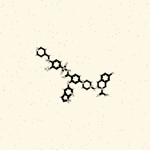 CC(C)C(=O)N1Cc2cc(F)ccc2C[C@H]1CN1CCN(c2ccc(C(=O)NS(=O)(=O)c3ccc(NCC4CCOCC4)c([N+](=O)[O-])c3)c(Oc3cnc4[nH]ccc4c3)c2)CC1